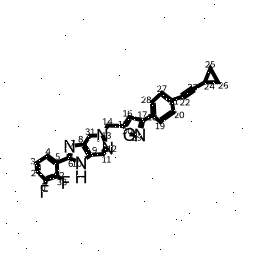 Fc1cccc(-c2nc3c([nH]2)C=NN(Cc2cc(-c4ccc(C#CC5CC5)cc4)no2)C3)c1F